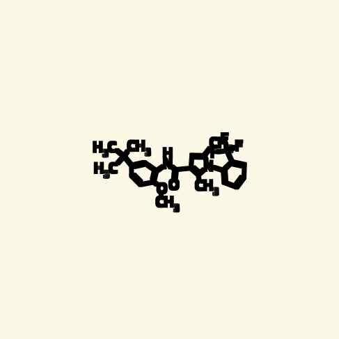 COc1ccc(C(C)(C)C)cc1NC(=O)c1cc(C)n(-c2ccccc2C(F)(F)F)c1C